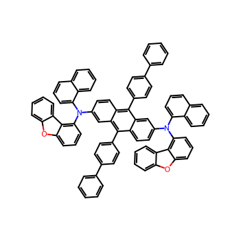 c1ccc(-c2ccc(-c3c4ccc(N(c5cccc6ccccc56)c5cccc6oc7ccccc7c56)cc4c(-c4ccc(-c5ccccc5)cc4)c4ccc(N(c5cccc6ccccc56)c5cccc6oc7ccccc7c56)cc34)cc2)cc1